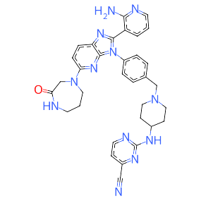 N#Cc1ccnc(NC2CCN(Cc3ccc(-n4c(-c5cccnc5N)nc5ccc(N6CCCNC(=O)C6)nc54)cc3)CC2)n1